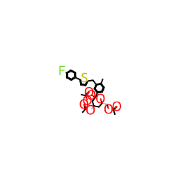 COC1(c2ccc(C)c(Cc3ccc(-c4ccc(F)cc4)s3)c2)O[C@H](COC(C)=O)C[C@H](OC(C)=O)[C@H]1OC(C)=O